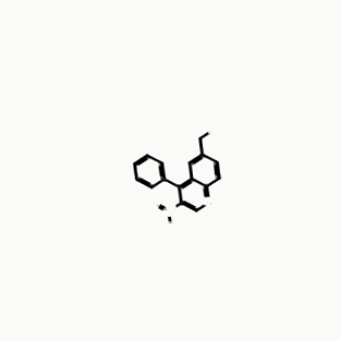 CCc1ccc2ncc([N+](=O)[O-])c(-c3ccccc3)c2c1